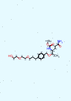 C[C@@H](OCc1ccc(CCCOCCOCCO)cc1)[C@H](CCC(N)=O)NC(=O)OC(C)(C)C